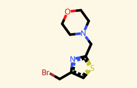 BrCc1csc(CN2CCOCC2)n1